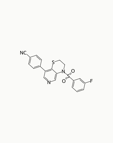 N#Cc1ccc(-c2cncc3c2SCCN3S(=O)(=O)c2cccc(F)c2)cc1